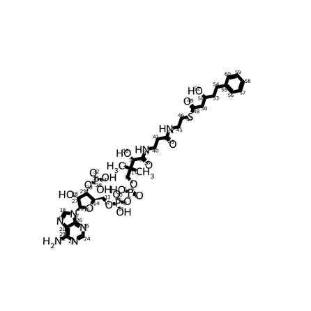 CC(C)(COP(=O)(O)OP(=O)(O)OC[C@H]1O[C@@H](n2cnc3c(N)ncnc32)[C@H](O)[C@@H]1OP(=O)(O)O)[C@@H](O)C(=O)NCCC(=O)NCCSC(=O)CC(O)CCc1ccccc1